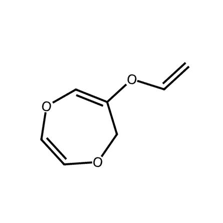 C=COC1=COC=COC1